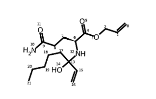 C=CCOC(=O)[C@H](CCC(N)=O)NC(O)(C=C)CCCCC